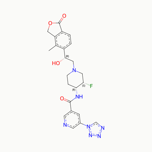 Cc1c([C@@H](O)CN2CC[C@@H](NC(=O)c3cncc(-n4cnnn4)c3)[C@@H](F)C2)ccc2c1COC2=O